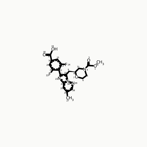 COC(=O)N1CCO[C@@H](Cc2c(-c3c(F)cc(C(=O)O)cc3F)nc3cc(C)cnn23)C1